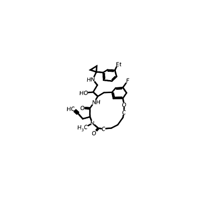 C#CCC1C(=O)NC(C(O)CNC2(c3cccc(CC)c3)CC2)CC2=C=C(CC(F)=C2)OCCCCCC(=O)N1C